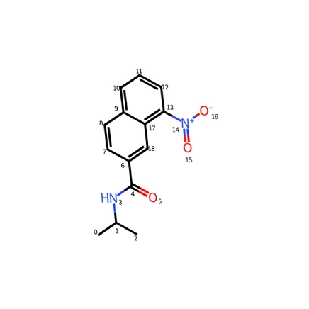 CC(C)NC(=O)c1ccc2cccc([N+](=O)[O-])c2c1